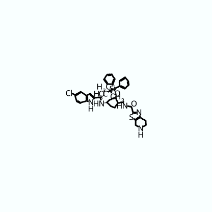 CC(C)(C)[Si](OC1C[C@@H](NC(=O)c2cc3cc(Cl)ccc3[nH]2)CCC1CNC(=O)c1nc2c(s1)CNCC2)(c1ccccc1)c1ccccc1